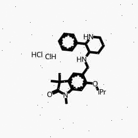 CC(C)Oc1cc2c(cc1CNC1CCCNC1c1ccccc1)C(C)(C)C(=O)N2C.Cl.Cl